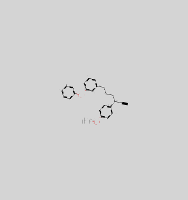 C#CC(CCCc1cccc(Oc2ccccc2)c1)c1ccc(OC(C)C)cc1